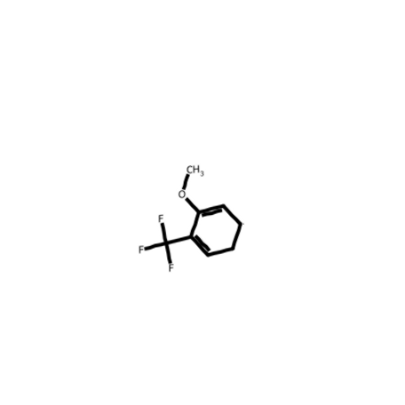 COC1=C[CH]CC=C1C(F)(F)F